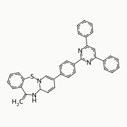 C=C1NC2C=CC(c3ccc(-c4nc(-c5ccccc5)cc(-c5ccccc5)n4)cc3)=CN2Sc2ccccc21